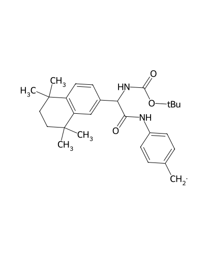 [CH2]c1ccc(NC(=O)C(NC(=O)OC(C)(C)C)c2ccc3c(c2)C(C)(C)CCC3(C)C)cc1